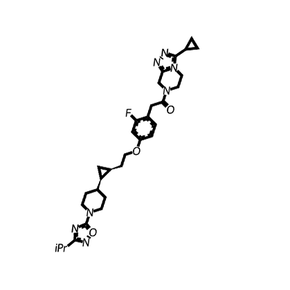 CC(C)c1noc(N2CCC([C@H]3C[C@H]3CCOc3ccc(CC(=O)N4CCn5c(nnc5C5CC5)C4)c(F)c3)CC2)n1